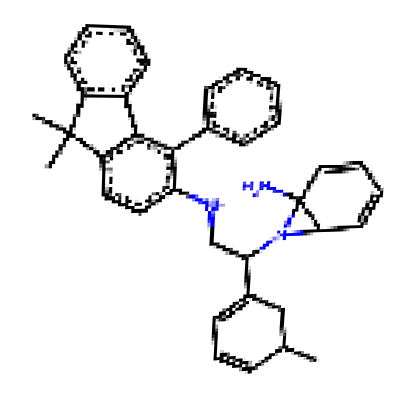 CC1C=CC=C(C(CNc2ccc3c(c2-c2ccccc2)-c2ccccc2C3(C)C)N2C3C=CC=CC32N)C1